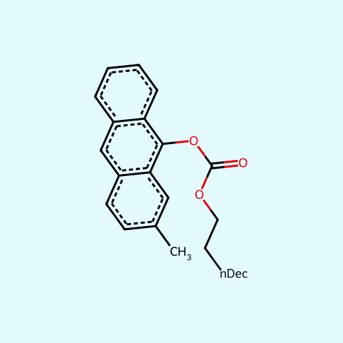 CCCCCCCCCCCCOC(=O)Oc1c2ccccc2cc2ccc(C)cc12